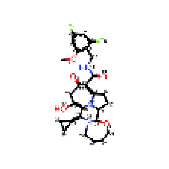 COc1cc(F)cc(F)c1CNC(=O)C1=C2CCC3C4OCCCCN4C(=C4CC4)C(=C(O)CC1=O)N23